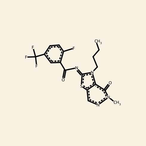 CCCCn1c(=NC(=O)c2cc(C(F)(F)F)ccc2F)sc2cnn(C)c(=O)c21